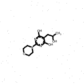 CC(O)Cc1c(O)nc(N2CCOCC2)nc1O